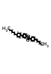 CCCCCCC1CCC(c2ccc(OC(=O)C3CCC(CCCCC)CC3)cc2)CC1